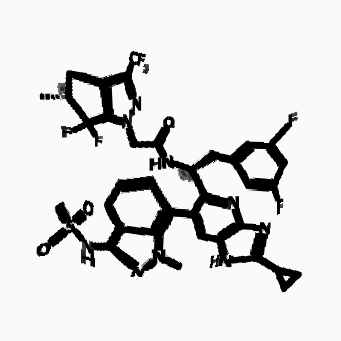 C[C@@H]1Cc2c(C(F)(F)F)nn(CC(=O)N[C@@H](Cc3cc(F)cc(F)c3)c3nc4nc(C5CC5)[nH]c4cc3-c3cccc4c(NS(C)(=O)=O)nn(C)c34)c2C1(F)F